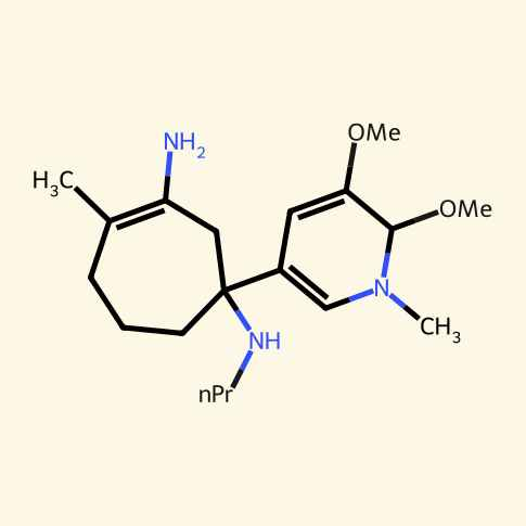 CCCNC1(C2=CN(C)C(OC)C(OC)=C2)CCCC(C)=C(N)C1